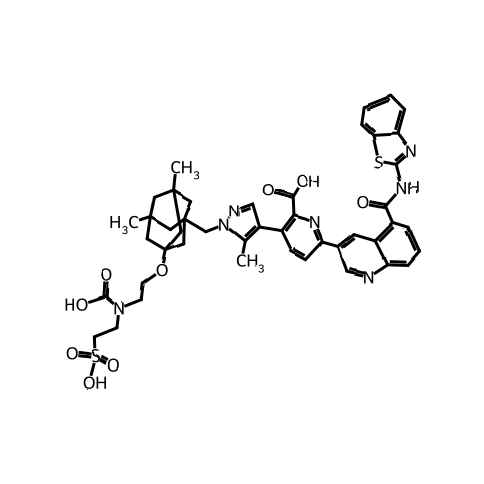 Cc1c(-c2ccc(-c3cnc4cccc(C(=O)Nc5nc6ccccc6s5)c4c3)nc2C(=O)O)cnn1CC12CC3(C)CC(C)(C1)CC(OCCN(CCS(=O)(=O)O)C(=O)O)(C3)C2